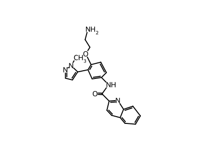 Cn1nccc1-c1cc(NC(=O)c2ccc3ccccc3n2)ccc1OCCN